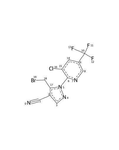 N#Cc1cnn(-c2ncc(C(F)(F)F)cc2Cl)c1CBr